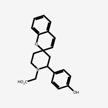 O=C(O)CN1CCC2(C=Cc3ccccc3O2)CC1c1ccc(O)cc1